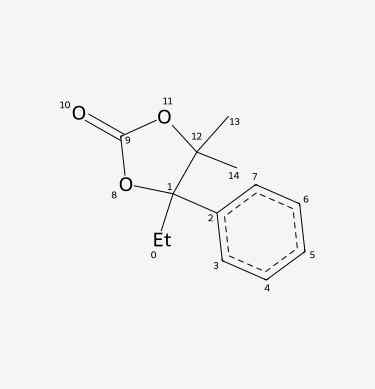 CCC1(c2ccccc2)OC(=O)OC1(C)C